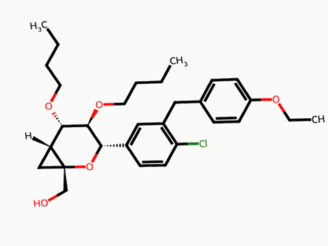 CCCCO[C@@H]1[C@@H](OCCCC)[C@H](c2ccc(Cl)c(Cc3ccc(OCC)cc3)c2)O[C@]2(CO)C[C@H]12